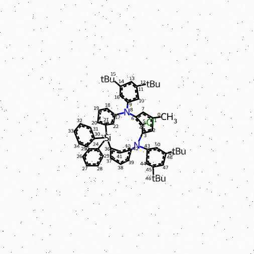 Cc1cc2c(Cl)c(c1)N(c1cc(C(C)(C)C)cc(C(C)(C)C)c1)c1cccc(c1)[Si](c1ccccc1)(c1ccccc1)c1cccc(c1)N2c1cc(C(C)(C)C)cc(C(C)(C)C)c1